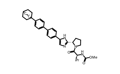 COC(=O)N[C@H](C(=O)N1CCC[C@H]1c1ncc(-c2ccc(-c3ccc(C45CCC(CC4)CC5)cc3)cc2)[nH]1)C(C)C